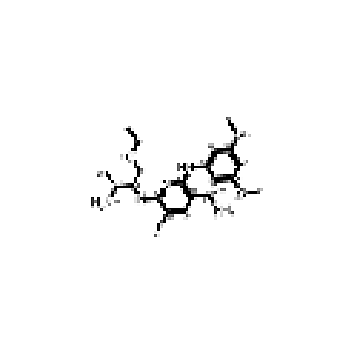 CCOC[C@@H](Nc1nc(Nc2cc(OC)cc(OC)c2)c(C(N)=O)cc1F)[C@H](C)N